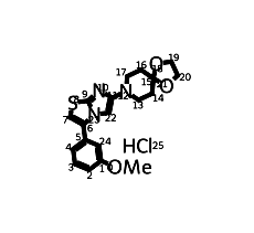 COc1cccc(-c2csc3nc(N4CCC5(CC4)OCCO5)cn23)c1.Cl